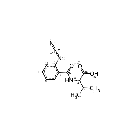 CC(C)[C@H](NC(=O)c1ccccc1N=[N+]=[N-])C(=O)O